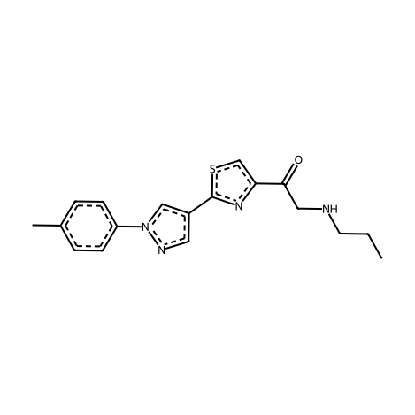 CCCNCC(=O)c1csc(-c2cnn(-c3ccc(C)cc3)c2)n1